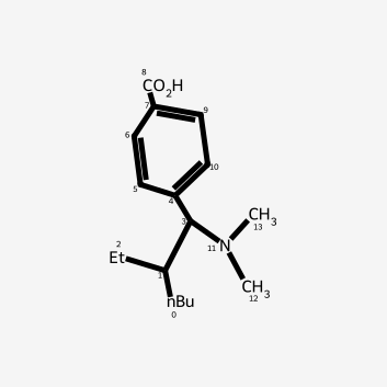 CCCCC(CC)C(c1ccc(C(=O)O)cc1)N(C)C